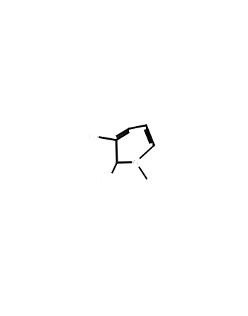 CC1C(O)=CC=CN1C